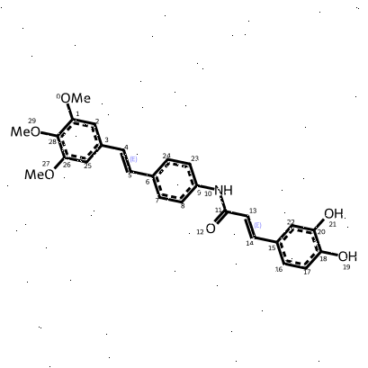 COc1cc(/C=C/c2ccc(NC(=O)/C=C/c3ccc(O)c(O)c3)cc2)cc(OC)c1OC